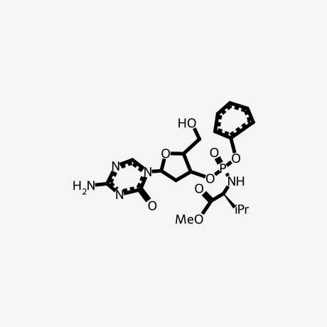 COC(=O)[C@@H](NP(=O)(Oc1ccccc1)OC1CC(n2cnc(N)nc2=O)OC1CO)C(C)C